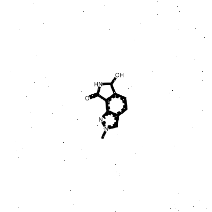 Cn1cc2ccc3c(c2n1)C(=O)NC3O